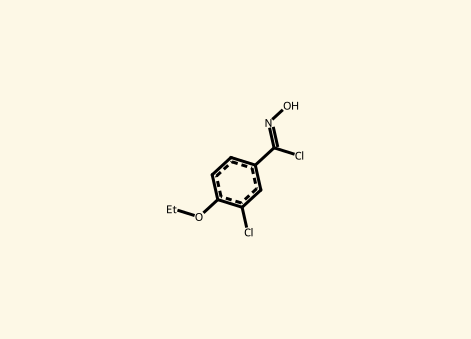 CCOc1ccc(/C(Cl)=N/O)cc1Cl